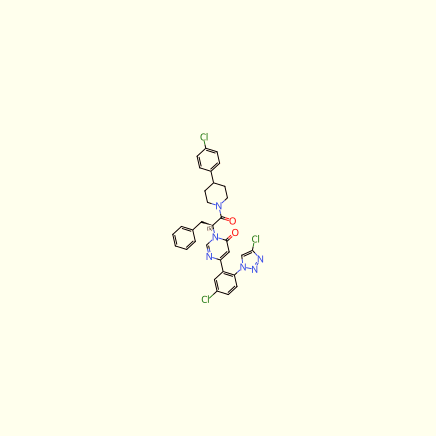 O=C([C@H](Cc1ccccc1)n1cnc(-c2cc(Cl)ccc2-n2cc(Cl)nn2)cc1=O)N1CCC(c2ccc(Cl)cc2)CC1